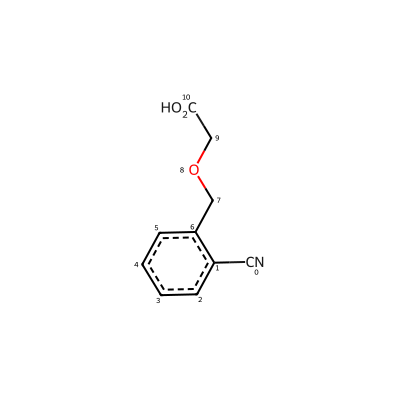 N#Cc1ccccc1COCC(=O)O